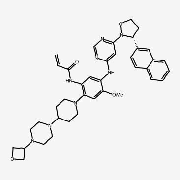 C=CC(=O)Nc1cc(Nc2cc(N3OCC[C@@H]3c3ccc4ccccc4c3)ncn2)c(OC)cc1N1CCC(N2CCN(C3COC3)CC2)CC1